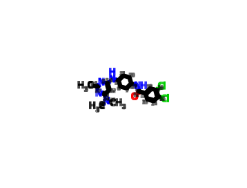 Cc1nc(NC2CCC(NC(=O)c3ccc(Cl)c(Cl)c3)CC2)cc(N(C)C)n1